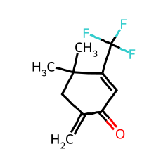 C=C1CC(C)(C)C(C(F)(F)F)=CC1=O